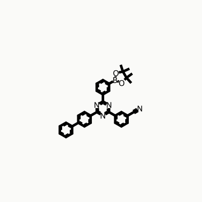 CC1(C)OB(c2cccc(-c3nc(-c4ccc(-c5ccccc5)cc4)nc(-c4cccc(C#N)c4)n3)c2)OC1(C)C